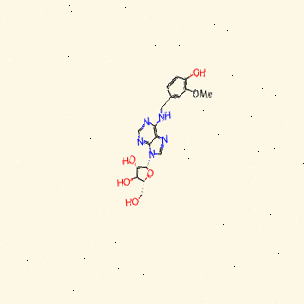 COc1cc(CNc2ncnc3c2ncn3[C@@H]2O[C@H](CO)C(O)[C@@H]2O)ccc1O